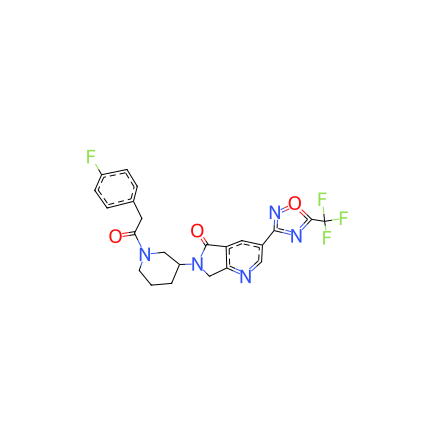 O=C(Cc1ccc(F)cc1)N1CCCC(N2Cc3ncc(-c4noc(C(F)(F)F)n4)cc3C2=O)C1